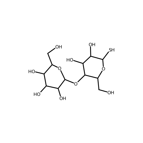 OCC1OC(OC2C(CO)OC(S)C(O)C2O)C(O)C(O)C1O